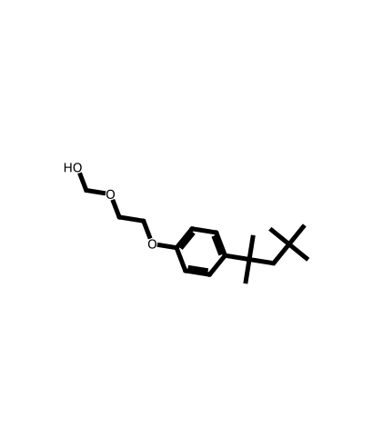 CC(C)(C)CC(C)(C)c1ccc(OCCOCO)cc1